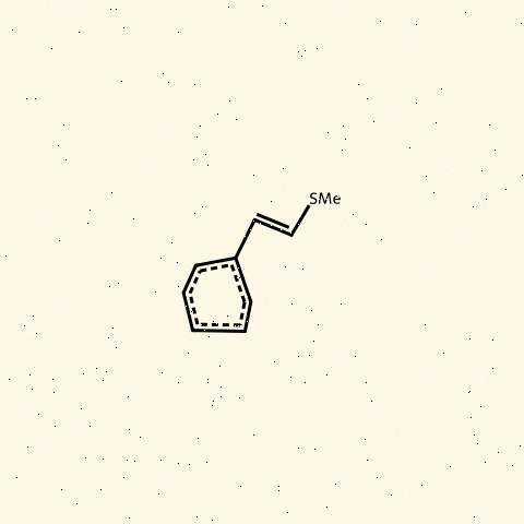 [CH2]SC=Cc1ccccc1